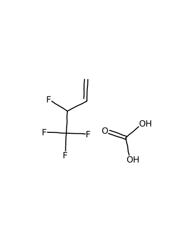 C=CC(F)C(F)(F)F.O=C(O)O